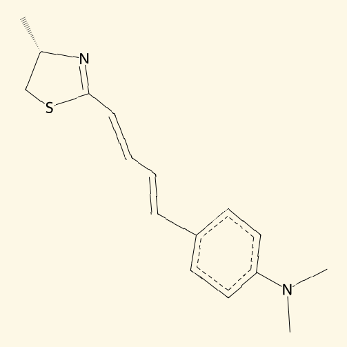 C[C@H]1CSC(/C=C/C=C/c2ccc(N(C)C)cc2)=N1